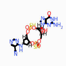 N#Cc1cncnc1N[C@@H]1C[C@@H]2COP(=O)(S)O[C@@H]3[C@H](O)[C@@H](CO[P@](=O)(S)O[C@H]2C1)O[C@H]3n1cnc2c(=O)[nH]c(N)nc21